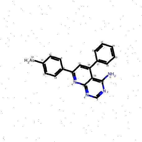 Nc1ncnc2nc(-c3ccc([AsH2])cc3)cc(-c3ccccc3)c12